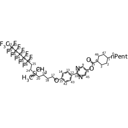 CCCCCC1CCC(C(=O)Oc2cnc(-c3ccc(OCCCC[Si](C)(C)CCC(F)(F)C(F)(F)C(F)(F)C(F)(F)C(F)(F)C(F)(F)F)cc3)nc2)CC1